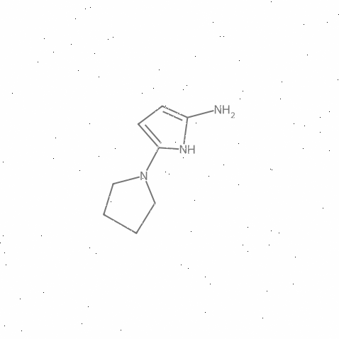 Nc1ccc(N2CCCC2)[nH]1